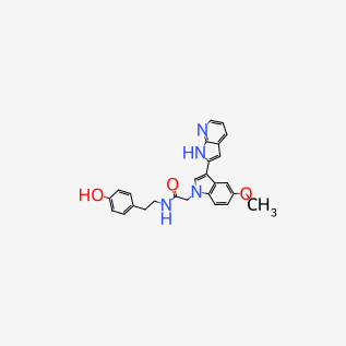 COc1ccc2c(c1)c(-c1cc3cccnc3[nH]1)cn2CC(=O)NCCc1ccc(O)cc1